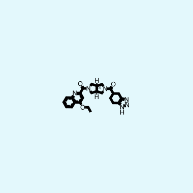 CCOc1cc(C(=O)N2C[C@@H]3CN(C(=O)C4CCc5[nH]nnc5C4)C[C@H]3C2)nc2ccccc12